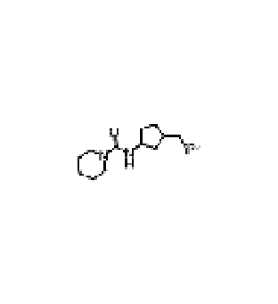 CC(C)CC1CCC(NC(=O)N2CCCCC2)C1